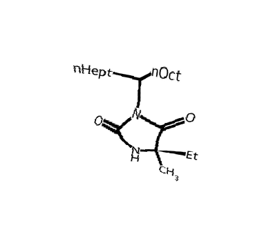 CCCCCCCCC(CCCCCCC)N1C(=O)N[C@](C)(CC)C1=O